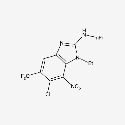 CCCNc1nc2cc(C(F)(F)F)c(Cl)c([N+](=O)[O-])c2n1CC